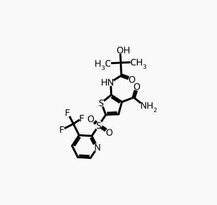 CC(C)(O)C(=O)Nc1sc(S(=O)(=O)c2ncccc2C(F)(F)F)cc1C(N)=O